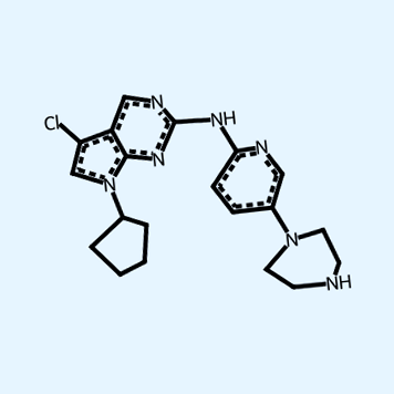 Clc1cn(C2CCCC2)c2nc(Nc3ccc(N4CCNCC4)cn3)ncc12